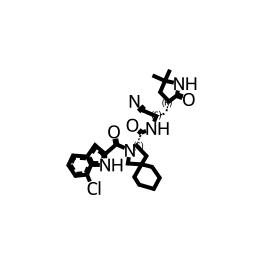 CC1(C)C[C@@H](C[C@@H](C#N)NC(=O)[C@@H]2CC3(CCCCC3)CN2C(=O)c2cc3cccc(Cl)c3[nH]2)C(=O)N1